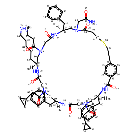 CC(C)CCC(=O)N1CC(=O)N[C@@H](Cc2ccccc2)CN(CC(N)=O)C(=O)CCSCc2ccc(cc2)C(=O)N[C@@H](Cc2ccccc2)CN(C(=O)CC2CC2)CC(=O)N[C@@H](Cc2ccccc2)CN(C(=O)CC2CC2)CC(=O)N[C@@H](CCCCCN)C1